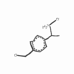 CC([SiH2]Cl)c1ccc(CCl)cc1